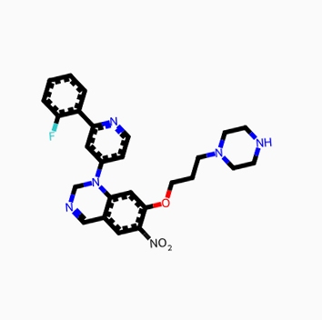 O=[N+]([O-])c1cc2c(cc1OCCCN1CCNCC1)N(c1ccnc(-c3ccccc3F)c1)CN=C2